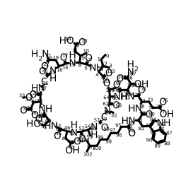 CCC(C)C1NC(=O)C(C(C)CC(=O)O)NC(=O)C(CC(N)=O)NC(=O)CNC(=O)C(C(OC)C(=O)O)NC(=O)C(CO)NC(=O)C(CC(=O)O)NC(=O)C(C)NC(=O)CN(C)C(=O)C(NC(=O)C(NC(=O)C(CCC(=O)O)NC(=O)C(Cc2c[nH]c3ccccc23)NC(=O)CCCCCCC(C)C)C(O)C(N)=O)C(C)OC1=O